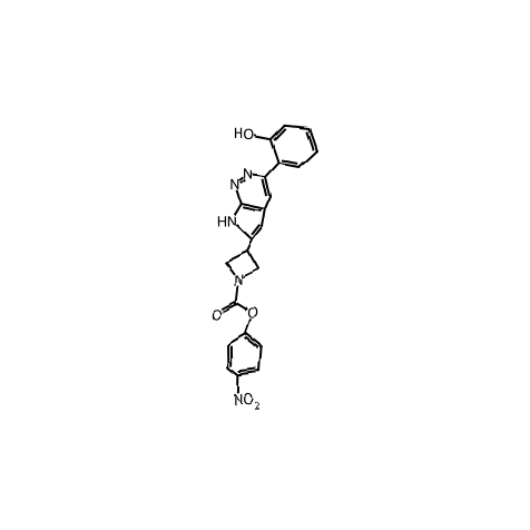 O=C(Oc1ccc([N+](=O)[O-])cc1)N1CC(c2cc3cc(-c4ccccc4O)nnc3[nH]2)C1